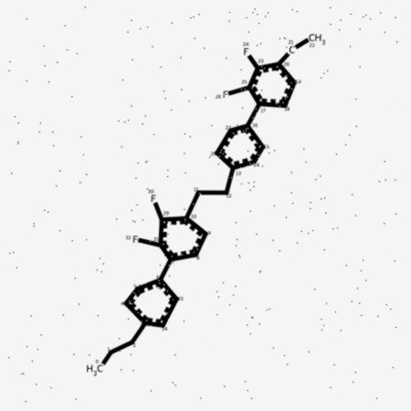 CCCc1ccc(-c2ccc(CCc3ccc(-c4ccc(CC)c(F)c4F)cc3)c(F)c2F)cc1